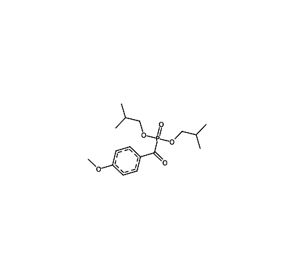 COc1ccc(C(=O)P(=O)(OCC(C)C)OCC(C)C)cc1